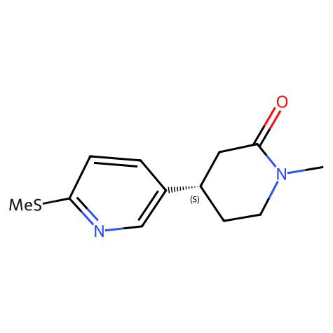 CSc1ccc([C@H]2CCN(C)C(=O)C2)cn1